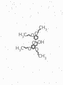 CCCCOC1=CCC([C@H]2Oc3cc(OCCCC)cc(OCCCC)c3C[C@H]2O)C=C1OCCCC